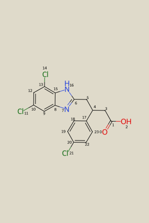 O=C(O)CC(Cc1nc2cc(Cl)cc(Cl)c2[nH]1)c1ccc(Cl)cc1